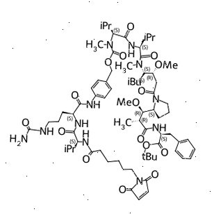 CC[C@H](C)[C@@H]([C@@H](CC(=O)N1CCC[C@H]1[C@H](OC)[C@@H](C)C(=O)N[C@@H](Cc1ccccc1)C(=O)OC(C)(C)C)OC)N(C)C(=O)[C@@H](NC(=O)[C@H](C(C)C)N(C)C(=O)OCc1ccc(NC(=O)[C@H](CCCNC(N)=O)NC(=O)[C@@H](NC(=O)CCCCCN2C(=O)C=CC2=O)C(C)C)cc1)C(C)C